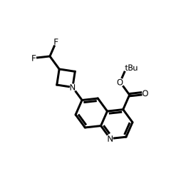 CC(C)(C)OC(=O)c1ccnc2ccc(N3CC(C(F)F)C3)cc12